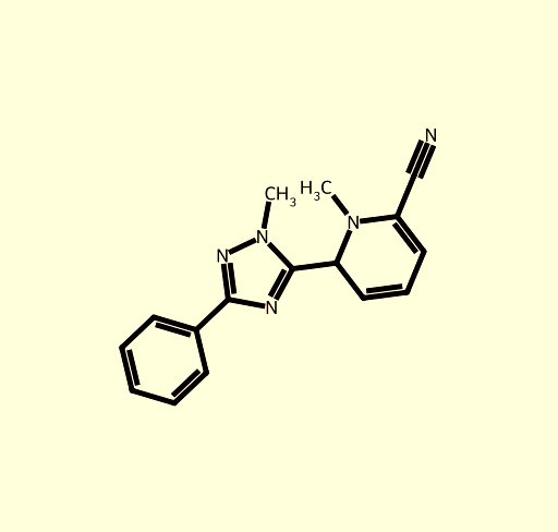 CN1C(C#N)=CC=CC1c1nc(-c2ccccc2)nn1C